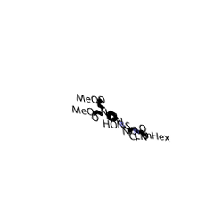 CCCCCCOC(=O)/C(C#N)=C/c1sc(/N=N/c2ccc(N(CCC(=O)OC)CCC(=O)OC)cc2O)nc1Cl